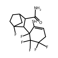 NC(=O)C1C2CCC(F)(C2)C1C1(F)C(S)=CCC(F)(F)C1(F)F